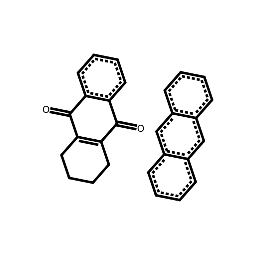 O=C1C2=C(CCCC2)C(=O)c2ccccc21.c1ccc2cc3ccccc3cc2c1